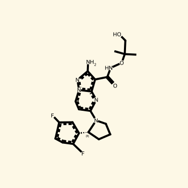 CC(C)(CO)ONC(=O)c1c(N)nn2ccc(N3CCC[C@@H]3c3cc(F)ccc3F)nc12